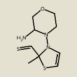 CC1(C=S)SC=CN1N1CCOCC1N